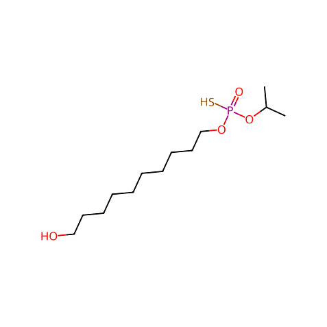 CC(C)OP(=O)(S)OCCCCCCCCCCO